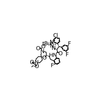 CC(C)(C)OC(=O)N1C[C@@H](CCc2c(F)cccc2NC(=O)[C@@H](N=[N+]=[N-])[C@@H](c2ccc(Cl)cc2)c2cc(F)cc(F)c2)OC2(CCN(S(C)(=O)=O)CC2)C1